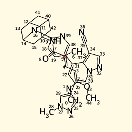 C=N/C(=C\C=C(/C)C(=O)NC12CC3CC(C1)N(c1ccc(-c4cc(-c5cnn(C)c5)cn5ncc(C#N)c45)cn1)C(C3)C2)OC